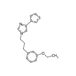 CCOc1cccc(CCCn2cnc(-c3ccsc3)c2)c1